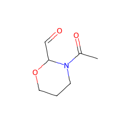 CC(=O)N1CCCOC1C=O